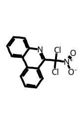 O=[N+]([O-])C(Cl)(Cl)c1nc2ccccc2c2ccccc12